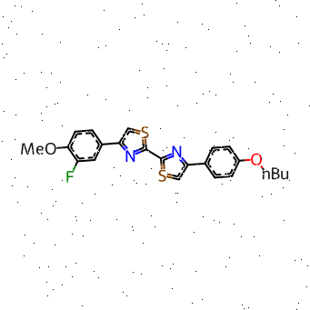 CCCCOc1ccc(-c2csc(-c3nc(-c4ccc(OC)c(F)c4)cs3)n2)cc1